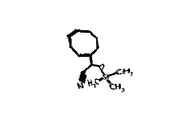 C[Si](C)(C)OC(C#N)/C1=C/CCCCCC1